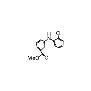 COC(=O)c1cccc(Nc2ccccc2Cl)c1